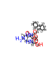 CC(C)C(C(=O)[C@H](C)N)[C@H](NC(=O)OCC1c2ccccc2-c2ccccc21)C(=O)N[C@@H](C)C(=O)O